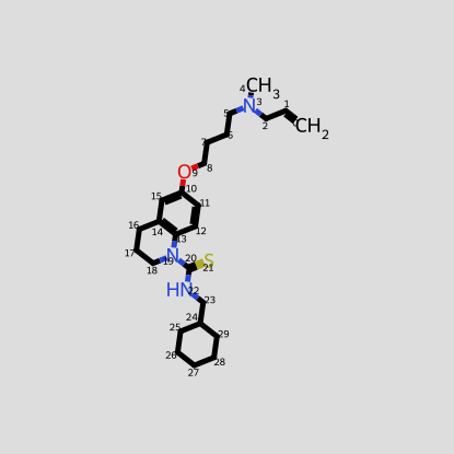 C=CCN(C)CCCCOc1ccc2c(c1)CCCN2C(=S)NCC1CCCCC1